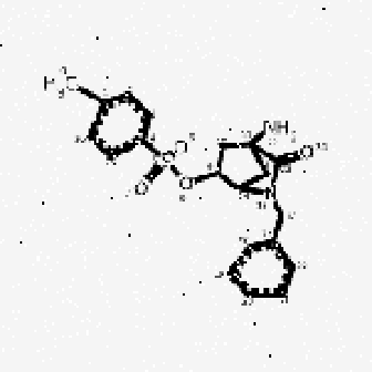 Cc1ccc(S(=O)(=O)OC2CC3(N)CC2N(Cc2ccccc2)C3=O)cc1